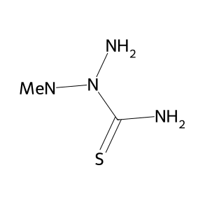 CNN(N)C(N)=S